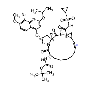 COc1ccc2c(O[C@@H]3C[C@H]4C(=O)N[C@]5(C(=O)NS(=O)(=O)C6CC6)CC5/C=C\CCCCC[C@H](NC(=O)OC(C)(C)C)C(=O)N4C3)cc(OC(C)C)nc2c1Br